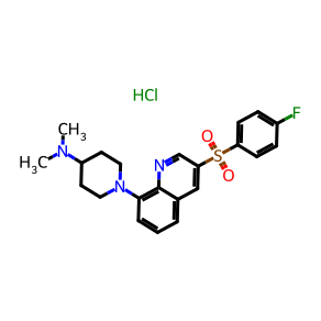 CN(C)C1CCN(c2cccc3cc(S(=O)(=O)c4ccc(F)cc4)cnc23)CC1.Cl